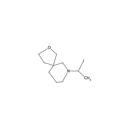 CC(I)N1CCCC2(CCOC2)C1